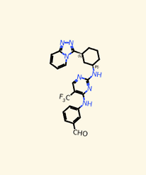 O=Cc1cccc(Nc2nc(N[C@@H]3CCC[C@H](c4nnc5ccccn45)C3)ncc2C(F)(F)F)c1